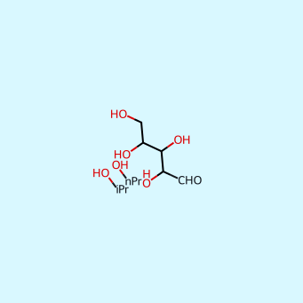 CC(C)O.CCCO.O=CC(O)C(O)C(O)CO